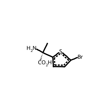 C[C@@](N)(C(=O)O)c1ccc(Br)s1